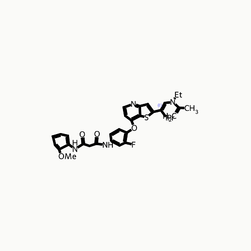 C=C(C)N(/C=C(/c1cc2nccc(Oc3ccc(NC(=O)CC(=O)Nc4ccccc4OC)cc3F)c2s1)C(C)C)CC